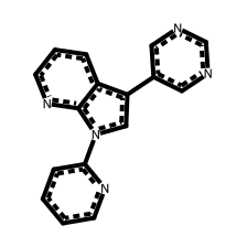 c1ccc(-n2cc(-c3cncnc3)c3cccnc32)nc1